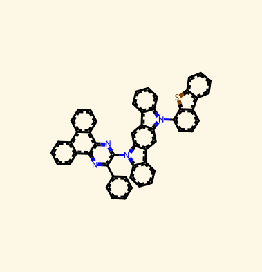 c1ccc(-c2nc3c4ccccc4c4ccccc4c3nc2-n2c3ccccc3c3cc4c(cc32)c2ccccc2n4-c2cccc3c2sc2ccccc23)cc1